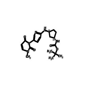 Cn1ccc(=O)n(-c2ccc(N[C@H]3CC[C@H](NC(=O)OC(C)(C)C)C3)nc2)c1=O